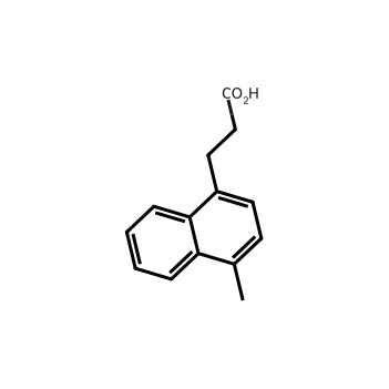 Cc1ccc(CCC(=O)O)c2ccccc12